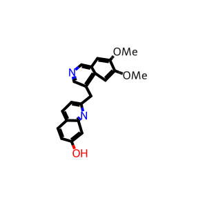 COc1cc2cncc(Cc3ccc4ccc(O)cc4n3)c2cc1OC